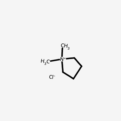 C[N+]1(C)CCCC1.[Cl-]